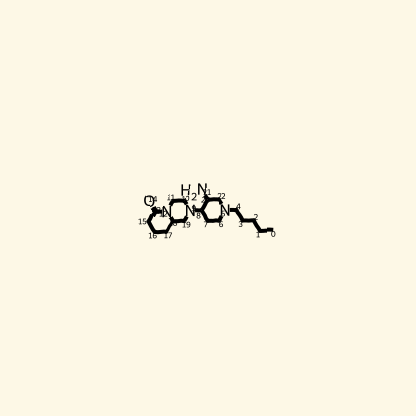 CCCCCN1CCC(N2CCN3C(=O)CCCC3C2)C(N)C1